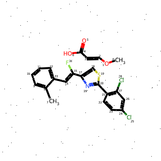 COC=CC(=O)O.Cc1ccccc1C=C(F)c1csc(-c2ccc(Cl)cc2Cl)n1